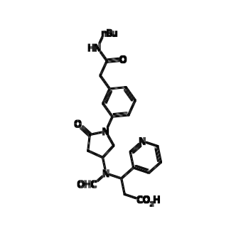 CCCCNC(=O)Cc1cccc(N2CC(N(C=O)C(CC(=O)O)c3cccnc3)CC2=O)c1